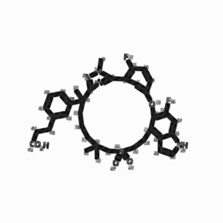 Cn1nc2nc1-c1cc(ccc1F)Oc1c(F)cc3[nH]ccc3c1CCS(=O)(=O)CC(C)(C)CCCC2(C)c1cccc(CCC(=O)O)c1